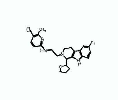 Cc1nc(NCCN2CCc3c([nH]c4ccc(Cl)cc34)C2C2CCCO2)ccc1Cl